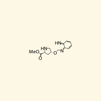 COC(=O)[C@@H]1C[C@@H](OC/N=C2/C=CC=CC2=N)CN1